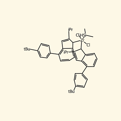 CC(C)C1=Cc2c(-c3ccc(C(C)(C)C)cc3)cccc2[CH]1[Zr]([Cl])([Cl])([CH]1C(C(C)C)=Cc2c(-c3ccc(C(C)(C)C)cc3)cccc21)[SiH](C)C